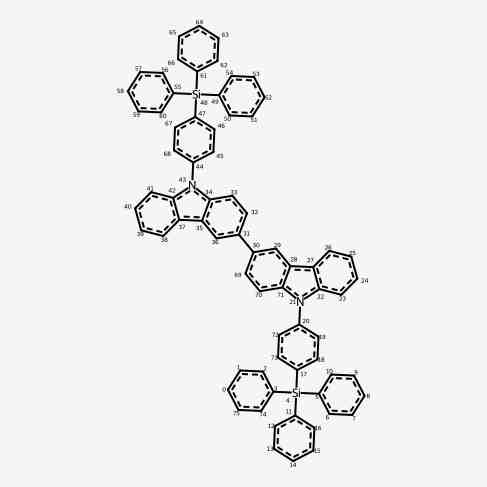 c1ccc([Si](c2ccccc2)(c2ccccc2)c2ccc(-n3c4ccccc4c4cc(-c5ccc6c(c5)c5ccccc5n6-c5ccc([Si](c6ccccc6)(c6ccccc6)c6ccccc6)cc5)ccc43)cc2)cc1